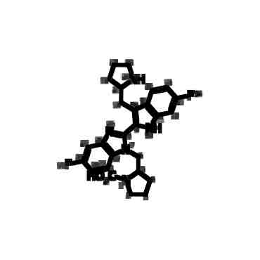 O=C(O)N1CCCC1Cn1c(-c2[nH]c3cc(F)ccc3c2CC2CCCN2)nc2cc(F)ccc21